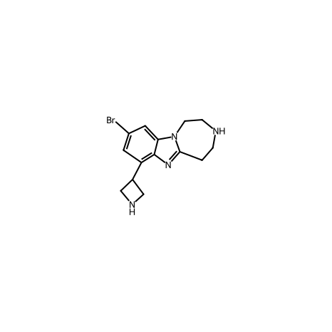 Brc1cc(C2CNC2)c2nc3n(c2c1)CCNCC3